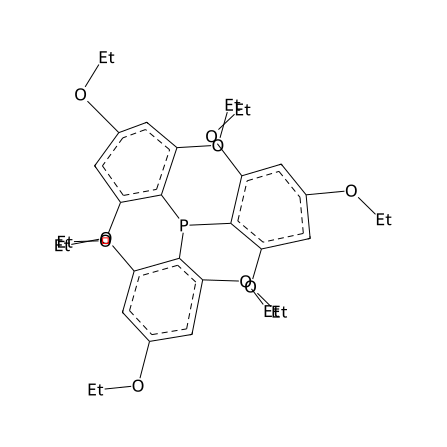 CCOc1cc(OCC)c(P(c2c(OCC)cc(OCC)cc2OCC)c2c(OCC)cc(OCC)cc2OCC)c(OCC)c1